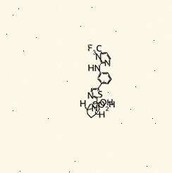 O=C(O)N1[C@@H]2CC[C@H]1CC(O)(c1ncc(-c3cccc(Nc4nccc(C(F)(F)F)n4)c3)s1)C2